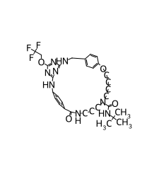 CC(C)(C)NC(=O)N1CCCCOc2ccc(cc2)CNc2nc(nc(OCC(F)(F)F)n2)Nc2ccc(cc2)C(=O)NCCC1